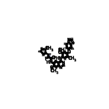 COc1cc2ncnc(Nc3cc(C)c(Oc4ccn5ncnc5c4)cc3OC)c2cc1NC(=O)/C(F)=C/[C@H]1CCCN1C